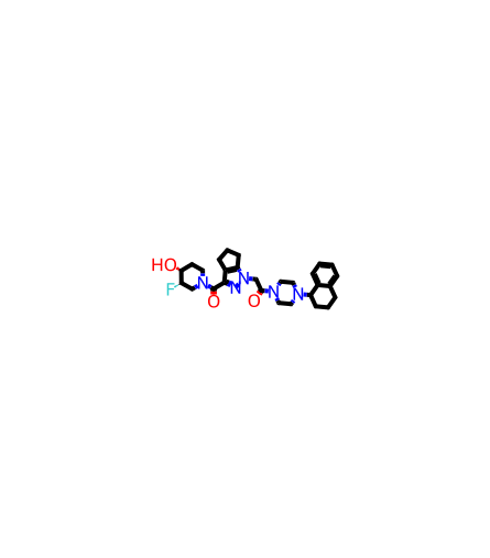 O=C(Cn1nc(C(=O)N2CC[C@H](O)[C@@H](F)C2)c2c1CCC2)N1CCN(C2CCCc3ccccc32)CC1